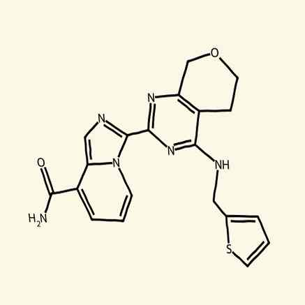 NC(=O)c1cccn2c(-c3nc4c(c(NCc5cccs5)n3)CCOC4)ncc12